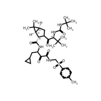 Cc1ccc(S(=O)(=O)CNC(=O)C(=O)C(CC2CC2)NC(=O)[C@H]2C(C(=O)[C@@H](NC(=O)NC(C)(C)C)C(C)(C)C)C[C@H]3[C@@H]2C3(C)C)cc1